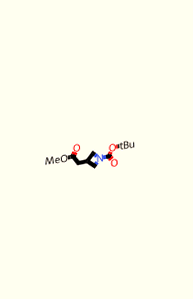 COC(=O)CC1CN(C(=O)OC(C)(C)C)C1